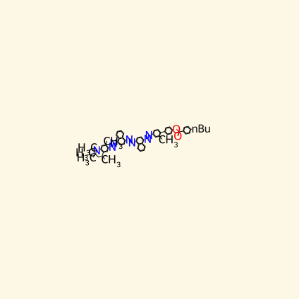 CCCCc1ccc(C(=O)Oc2ccc(-c3ccc(N=Nc4ccc(N=Nc5ccc(N=Nc6cc7c(cc6C)N(C)C(C)(C)CC7C)c6ccccc56)c5ccccc45)cc3C)cc2)cc1